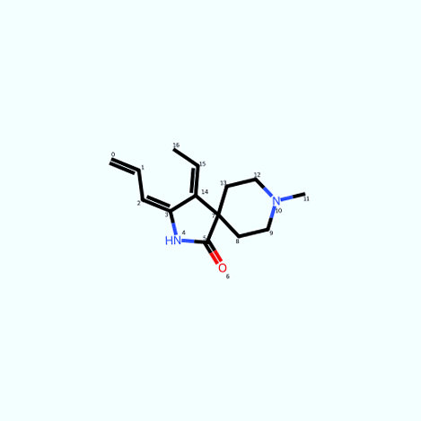 C=C/C=C1/NC(=O)C2(CCN(C)CC2)/C1=C/C